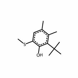 CSc1cc(C)c(C)c(C(C)(C)C)c1O